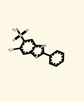 NS(=O)(=O)c1cc2[nH]c(-c3ccccc3)nc2cc1C(F)(F)F